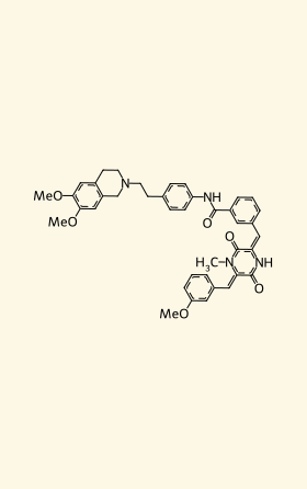 COc1cccc(C=c2c(=O)[nH]c(=Cc3cccc(C(=O)Nc4ccc(CCN5CCc6cc(OC)c(OC)cc6C5)cc4)c3)c(=O)n2C)c1